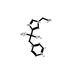 CC(C)Cn1cnc(C(C)(C)Cc2ccncc2)c1